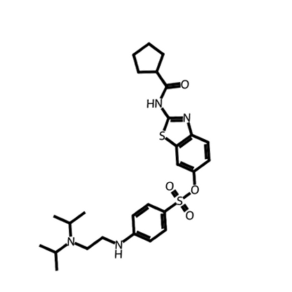 CC(C)N(CCNc1ccc(S(=O)(=O)Oc2ccc3nc(NC(=O)C4CCCC4)sc3c2)cc1)C(C)C